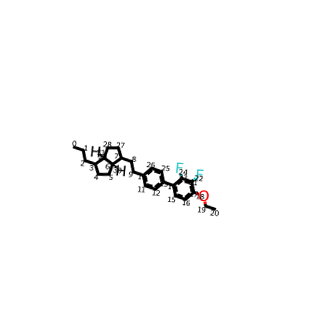 CCCC1CC[C@H]2C(CCc3ccc(-c4ccc(OCC)c(F)c4F)cc3)CC[C@@H]12